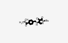 CN(C)C(=O)c1ccc(CNc2cnn(C(C)(C)C)c(=O)c2Cl)cc1